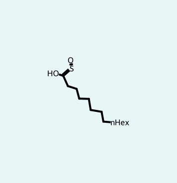 CCCCCCCCCCCCCC(O)=S=O